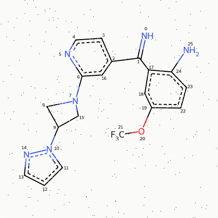 N=C(c1ccnc(N2CC(n3cccn3)C2)c1)c1cc(OC(F)(F)F)ccc1N